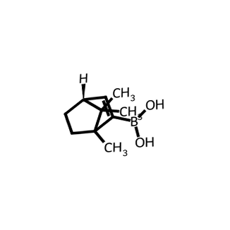 CC12CC[C@H](C=C1B(O)O)C2(C)C